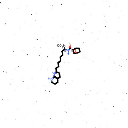 O=C(O)[C@H](CCCCCCCc1ccc2c(n1)NCCC2)NC(=O)[C@@H]1CC2CCC1O2